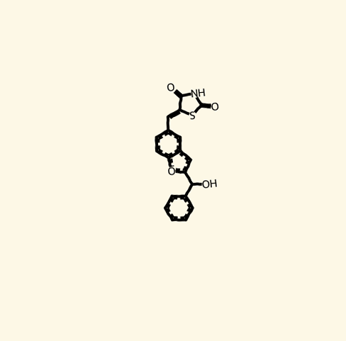 O=C1NC(=O)C(=Cc2ccc3oc(C(O)c4ccccc4)cc3c2)S1